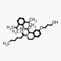 CCCCCC(=O)N1CCc2ccc(OCCCO)cc2C1C(=O)Nc1c(C(C)C)cccc1C(C)C